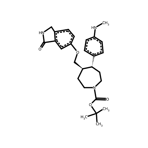 CNc1ccc([C@@H]2CCN(C(=O)OC(C)(C)C)CC[C@H]2COc2ccc3c(c2)C(=O)NC3)cc1